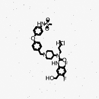 CCCCN(C(=O)Nc1cc(CO)c(F)cc1F)C1CCN(Cc2ccc(Oc3ccc(NS(C)(=O)=O)cc3)cc2)CC1.Cl